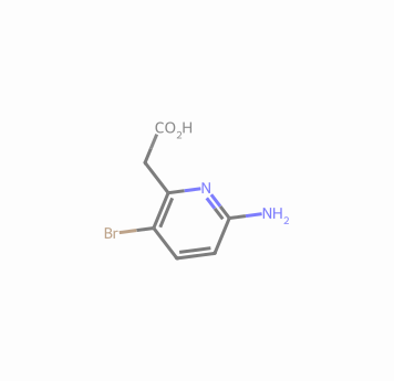 Nc1ccc(Br)c(CC(=O)O)n1